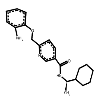 C[C@@H](NC(=O)c1ccc(COc2ccccc2N)nc1)C1CCCCC1